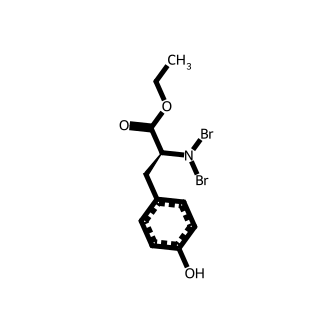 CCOC(=O)[C@H](Cc1ccc(O)cc1)N(Br)Br